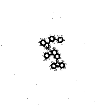 c1ccc(-c2cccc(-c3nc(-n4c5ccccc5c5c6cc(-n7c8ccccc8c8ccccc87)ccc6ccc54)nc4ccccc34)c2)cc1